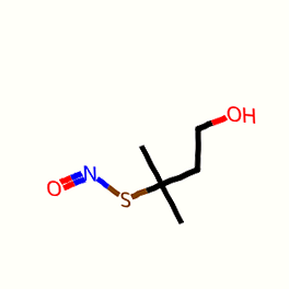 CC(C)(CCO)SN=O